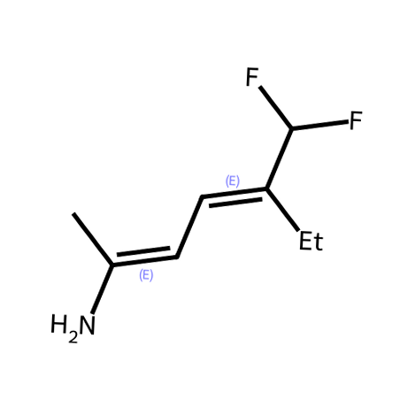 CC/C(=C\C=C(/C)N)C(F)F